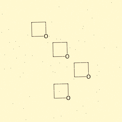 C1COC1.C1COC1.C1COC1.C1COC1